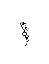 O=C1OC(CO)CN1c1ccc2cc(OCC3CC3)ccc2c1